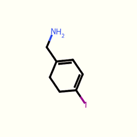 NCC1=CC=C(I)CC1